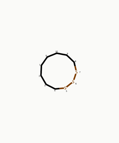 C1CCCCSSSCCC1